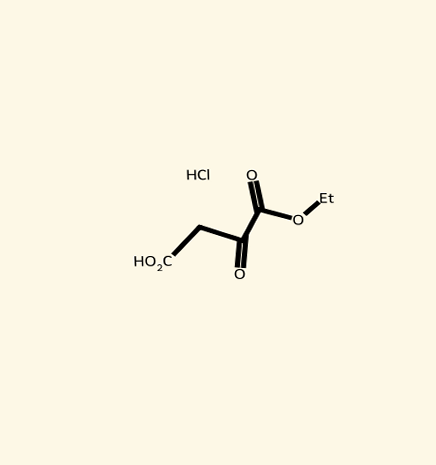 CCOC(=O)C(=O)CC(=O)O.Cl